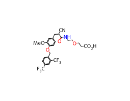 COc1cc(C=C(C#N)C(=O)NCCOCCC(=O)O)ccc1OCc1ccc(C(F)(F)F)cc1C(F)(F)F